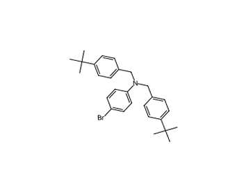 CC(C)(C)c1ccc(CN(Cc2ccc(C(C)(C)C)cc2)c2ccc(Br)cc2)cc1